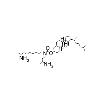 CC(C)CCC[C@@H](C)[C@H]1CC[C@H]2[C@@H]3CC=C4C[C@@H](OC(=O)N(CCCCCCCC(C)N)CCC(C)N)CC[C@]4(C)[C@H]3CC[C@]12C